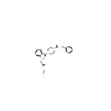 CCOC(=O)Cn1nc(N2CCN(C(=O)OCc3ccccc3)CC2)c2c(Br)cccc21